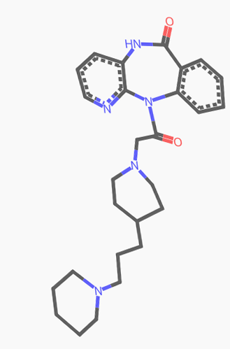 O=C1Nc2cccnc2N(C(=O)CN2CCC(CCCN3CCCCC3)CC2)c2ccccc21